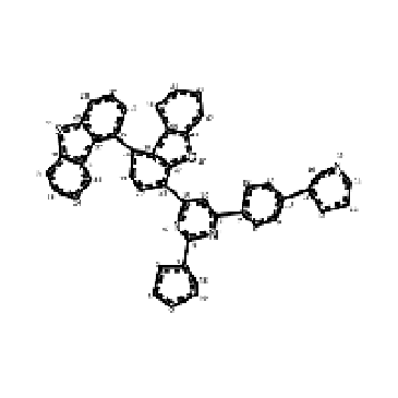 c1ccc(-c2nc(-c3ccc(-c4cccnc4)cc3)cc(-c3ccc(-c4cccc5sc6ccccc6c45)c4c3oc3ccccc34)n2)cc1